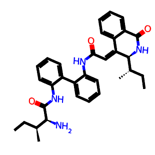 CC[C@H](C)[C@H](N)C(=O)Nc1ccccc1-c1ccccc1NC(=O)C=C1c2ccccc2C(=O)N[C@H]1[C@@H](C)CC